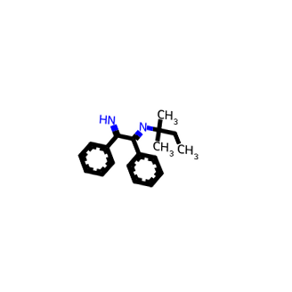 CCC(C)(C)/N=C(/C(=N)c1ccccc1)c1ccccc1